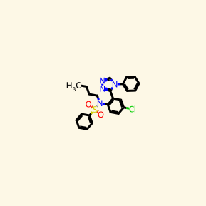 CCCCN(c1ccc(Cl)cc1-c1nncn1-c1ccccc1)S(=O)(=O)c1ccccc1